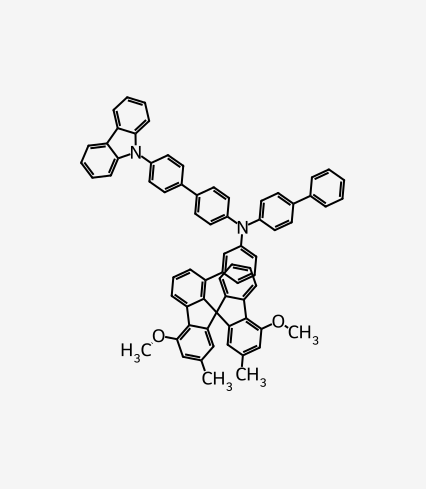 COc1cc(C)cc2c1-c1ccccc1C21c2cc(C)cc(OC)c2-c2cccc(-c3cccc(N(c4ccc(-c5ccccc5)cc4)c4ccc(-c5ccc(-n6c7ccccc7c7ccccc76)cc5)cc4)c3)c21